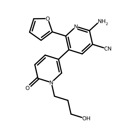 N#Cc1cc(-c2ccc(=O)n(CCCO)c2)c(-c2ccco2)nc1N